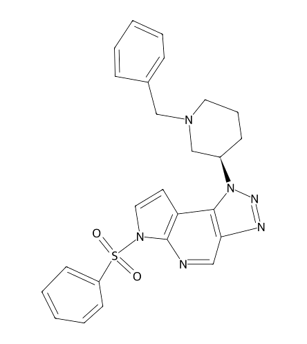 O=S(=O)(c1ccccc1)n1ccc2c1ncc1nnn([C@@H]3CCCN(Cc4ccccc4)C3)c12